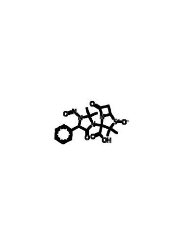 CC1(C)N(N=O)C(c2ccccc2)C(=O)N1C1(C(=O)O)N2C(=O)CC2[S+]([O-])C1(C)C